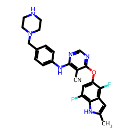 Cc1cc2c(F)c(Oc3ncnc(Nc4ccc(CN5CCNCC5)cc4)c3C#N)cc(F)c2[nH]1